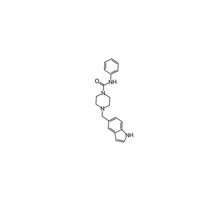 O=C(Nc1ccccc1)N1CCN(Cc2ccc3[nH]ccc3c2)CC1